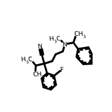 CC(c1ccccc1)N(C)CCCC(C#N)(c1ccccc1F)C(C)C